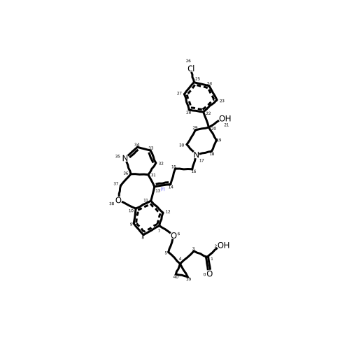 O=C(O)CC1(COc2ccc3c(c2)/C(=C/CCN2CCC(O)(c4ccc(Cl)cc4)CC2)C2C=CC=NC2CO3)CC1